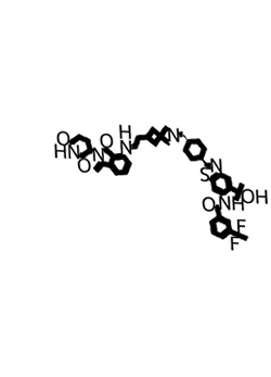 C=C1c2cccc(NCCC3CC4(C3)CN(C[C@H]3CC[C@H](c5nc6cc(C(C)(C)O)c(NC(=O)c7cccc(C(C)(F)F)c7)cc6s5)CC3)C4)c2C(=O)N1C1CCC(=O)NC1=O